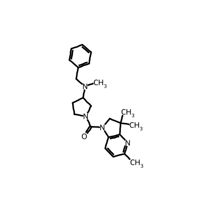 Cc1ccc2c(n1)C(C)(C)CN2C(=O)N1CCC(N(C)Cc2ccccc2)C1